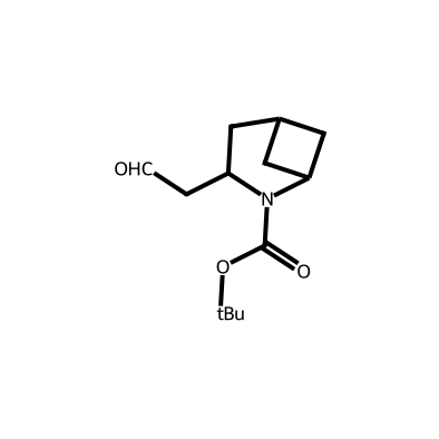 CC(C)(C)OC(=O)N1C(CC=O)CC2CC1C2